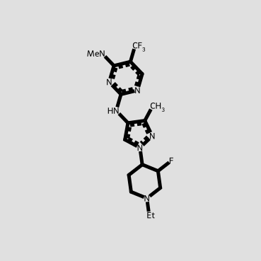 CCN1CCC(n2cc(Nc3ncc(C(F)(F)F)c(NC)n3)c(C)n2)C(F)C1